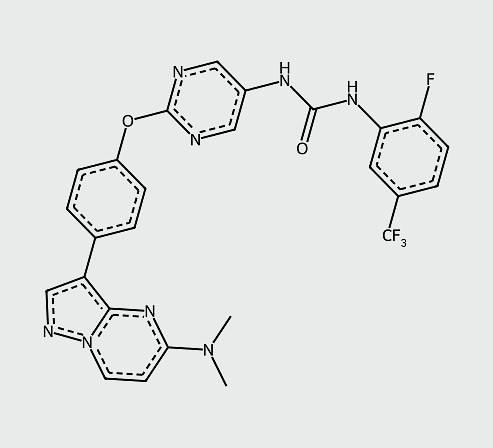 CN(C)c1ccn2ncc(-c3ccc(Oc4ncc(NC(=O)Nc5cc(C(F)(F)F)ccc5F)cn4)cc3)c2n1